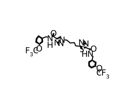 O=C(NCc1cccc(OC(F)(F)F)c1)c1cn(CCCCc2nnc(C(=O)NCc3cccc(OC(F)(F)F)c3)s2)nn1